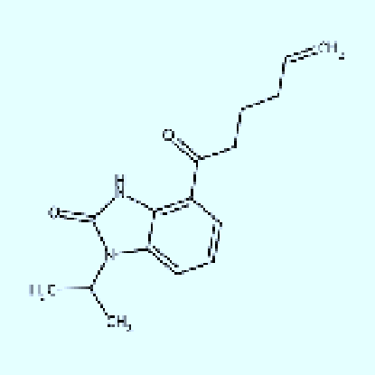 C=CCCCC(=O)c1cccc2c1[nH]c(=O)n2C(C)C